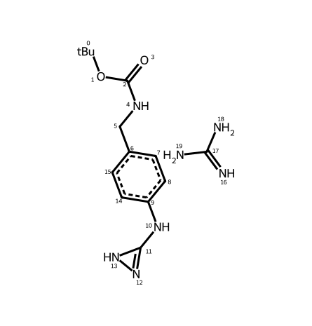 CC(C)(C)OC(=O)NCc1ccc(NC2=NN2)cc1.N=C(N)N